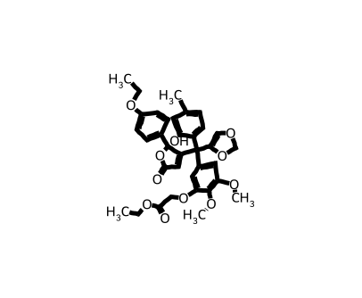 CCOC(=O)COc1cc(C(C2=COCO2)(C2=CC(=O)OC2(O)c2ccc(OCC)cc2)c2ccc(C)cc2)cc(OC)c1OC